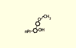 C=CCOc1ccc(-c2cc(CCC)ccc2O)cc1